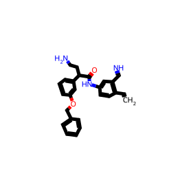 C=Cc1ccc(NC(=O)C(CCN)c2cccc(OCc3ccccc3)c2)cc1C=N